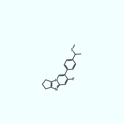 CSC(C)c1ccc(-c2cn3c4c(nc3cc2F)CCC4)cc1